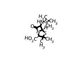 CC1(C)S[C@@H]2C(N[Si](C)(C)C)C(=O)N2[C@H]1C(=O)O